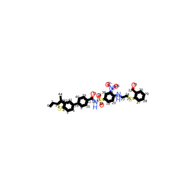 C=Cc1sc2ccc(-c3ccc(C(=O)NS(=O)(=O)c4ccc(NCCSc5ccccc5C=O)c([N+](=O)[O-])c4)cc3)cc2c1C